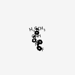 CN(C)c1ccc(NC(=O)N2CCC[C@@H](c3nc(-c4cccc(F)c4)c4ccccn34)C2)cc1